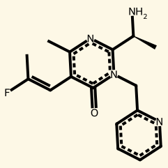 C/C(F)=C\c1c(C)nc([C@H](C)N)n(Cc2ccccn2)c1=O